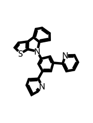 c1ccc(-c2cc(-c3ccccn3)cc(-n3c4ccccc4c4ccsc43)c2)nc1